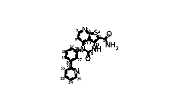 NC(=O)c1sc2nccc3c2c1NC(=O)N3c1cccc(-c2ccccn2)c1